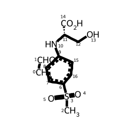 CC=O.CS(=O)(=O)c1ccc(N[C@@H](CO)C(=O)O)cc1